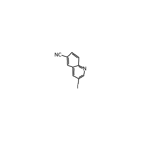 N#Cc1ccc2ncc(I)cc2c1